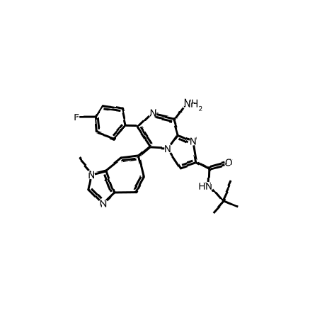 Cn1cnc2ccc(-c3c(-c4ccc(F)cc4)nc(N)c4nc(C(=O)NC(C)(C)C)cn34)cc21